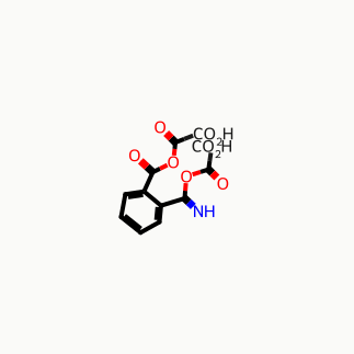 N=C(OC(=O)C(=O)O)c1ccccc1C(=O)OC(=O)C(=O)O